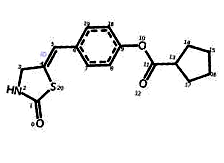 O=C1NC/C(=C/c2ccc(OC(=O)C3CCCC3)cc2)S1